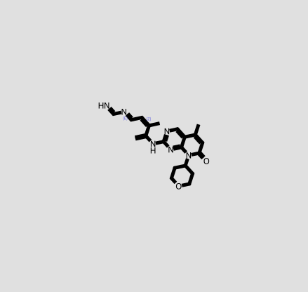 C=C(Nc1ncc2c(C)cc(=O)n(C3CCOCC3)c2n1)/C(C)=C\C=N\C=N